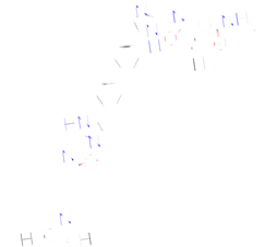 CCN(CC)[C@H]1CC[C@@H](C(=O)N2CCCC2c2ncc(-c3ccc(-c4ccc(-c5cnc([C@@H]6CCCN6C(=O)[C@H](C)OC(N)=O)[nH]5)cc4)cc3)[nH]2)CC1